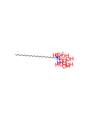 CCCCCCCCCCCCCCCCCCCCCCCCCCC(=O)N[C@@H](CO[C@H]1O[C@H](CO)[C@H](O)[C@H](O)[C@H]1O)[C@H](O)[C@H](O)CC